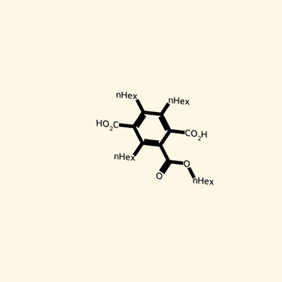 CCCCCCOC(=O)c1c(CCCCCC)c(C(=O)O)c(CCCCCC)c(CCCCCC)c1C(=O)O